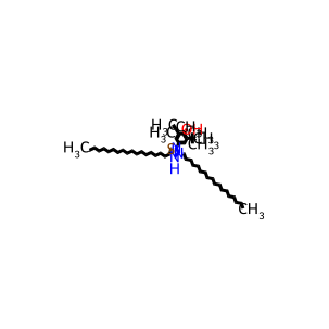 CCCCCCCCCCCCCCCCCCC1NN(CCCCCCCCCCCCCCCCCC)N(c2cc(C(C)(C)C)c(O)c(C(C)(C)C)c2)S1